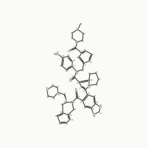 CN1CCN(C(=O)c2cccc(CN(C(=O)c3cc(-c4cc5c(cc4C(=O)N4Cc6ccccc6C[C@H]4CN4CCOCC4)OCO5)n4c3CCCC4)c3ccc(O)cc3)c2)CC1